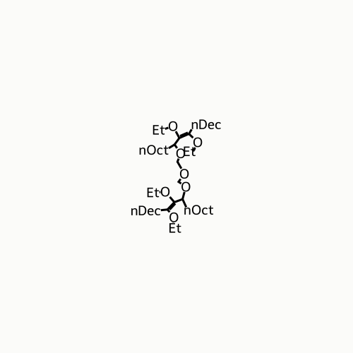 CCCCCCCCCCC(OCC)=C(OCC)C(CCCCCCCC)OCOCOC(CCCCCCCC)C(OCC)=C(CCCCCCCCCC)OCC